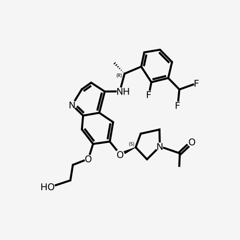 CC(=O)N1CC[C@H](Oc2cc3c(N[C@H](C)c4cccc(C(F)F)c4F)ccnc3cc2OCCO)C1